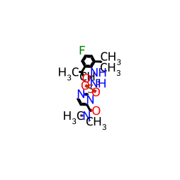 CC(C)c1cc(F)cc(C(C)C)c1NC(=O)NS(=O)(=O)c1nccc(C(=O)N(C)C)n1